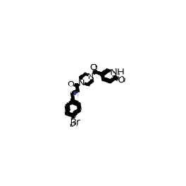 O=C(/C=C/c1ccc(Br)cc1)N1CCN(C(=O)c2ccc(=O)[nH]c2)CC1